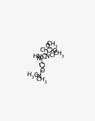 COc1cc(OC)c(Cl)c(-c2cc3[nH]nc(-c4ccc(OCCN(C)C)cc4)c3cn2)c1Cl